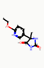 CCOc1ccc(C2(C)NC(=O)NC2=O)cn1